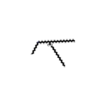 CCCCCCCC/C=C\CCCCCCC(CCCCCCCCCCCCCCCC)C(=O)OCCCCCCCCCCCCCCCC